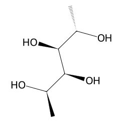 C[C@H](O)[C@H](O)[C@@H](O)[C@@H](C)O